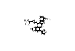 CC(C)CNCCn1c(Sc2cc3c(cc2-c2cc[nH]n2)OCO3)nc2c(N)ncnc21